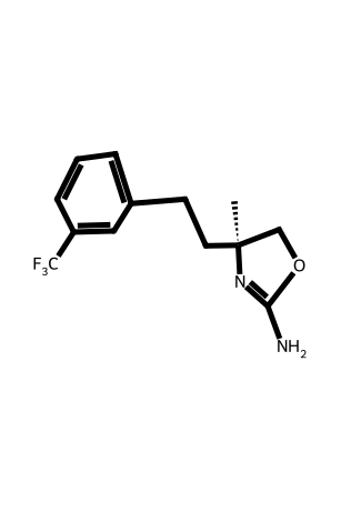 C[C@]1(CCc2cccc(C(F)(F)F)c2)COC(N)=N1